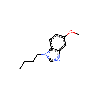 CCCCn1cnc2cc(OC)ccc21